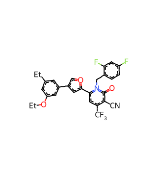 CCOc1cc(CC)cc(-c2coc(-c3cc(C(F)(F)F)c(C#N)c(=O)n3Cc3ccc(F)cc3F)c2)c1